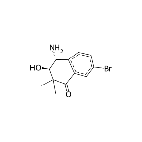 CC1(C)C(=O)c2cc(Br)ccc2[C@@H](N)[C@@H]1O